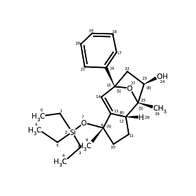 CC[Si](CC)(CC)O[C@@]1(C)CC[C@@H]2C1=C[C@]1(c3ccccc3)C[C@@H](O)[C@@]2(C)O1